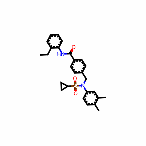 CCc1ccccc1NC(=O)c1ccc(CN(c2ccc(C)c(C)c2)S(=O)(=O)C2CC2)cc1